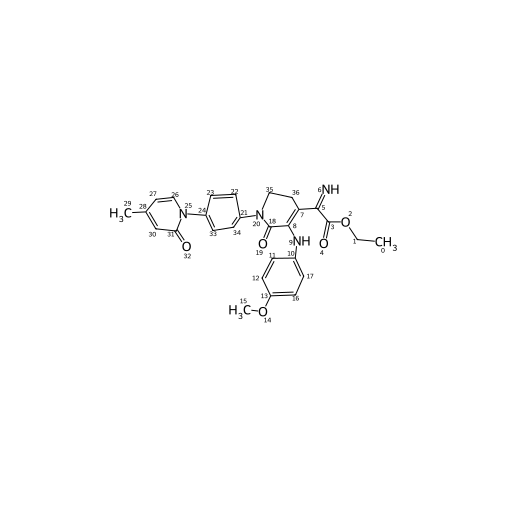 CCOC(=O)C(=N)C1=C(Nc2ccc(OC)cc2)C(=O)N(c2ccc(-n3ccc(C)cc3=O)cc2)CC1